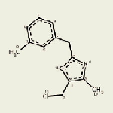 Cc1cccc(Cc2nc(C)c(CCl)o2)c1